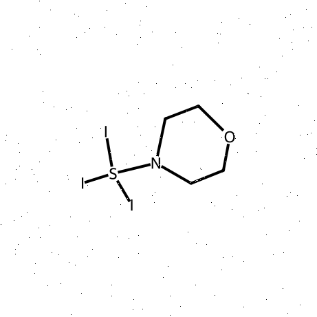 IS(I)(I)N1CCOCC1